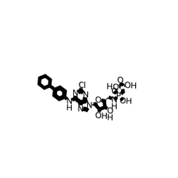 O=P(O)(O)CP(=O)(O)NC[C@H]1O[C@@H](n2cnc3c(Nc4ccc(C5CCCCC5)cc4)nc(Cl)nc32)C(O)C1O